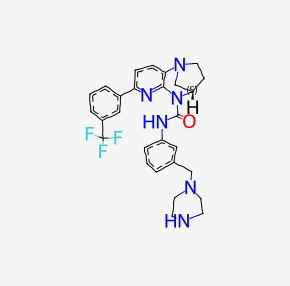 O=C(Nc1cccc(CN2CCNCC2)c1)N1c2nc(-c3cccc(C(F)(F)F)c3)ccc2N2CC[C@H]1C2